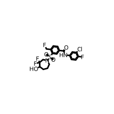 O=C(Nc1ccc(F)c(Cl)c1)c1ccc(CF)c(S(=O)(=O)N2CCCC(O)C(F)(F)C2)c1